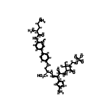 C[n+]1cc(-c2ccc(OC[C@H](O/N=C(\C(=O)N[C@@H]3C(=O)N(COS(=O)(=O)[O-])C3(C)C)c3csc(N)n3)C(=O)O)cc2)ccc1NC(=O)[C@@H](N)CCN